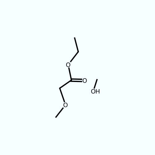 CCOC(=O)COC.CO